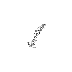 CC[C@H]1CC[C@@H](c2ncc(-c3ccc4c(c3)COc3cc5c(ccc6nc([C@@H]7CC[C@H](C)N7C(=O)[C@@H](NC(=O)OC)C(C)C)[nH]c65)cc3-4)[nH]2)N1C(=O)[C@@H](NC(=O)OC)C1CCOCC1